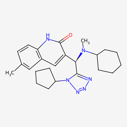 Cc1ccc2[nH]c(=O)c([C@H](c3nnnn3C3CCCC3)N(C)C3CCCCC3)cc2c1